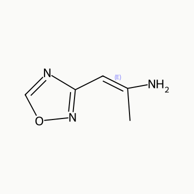 C/C(N)=C\c1ncon1